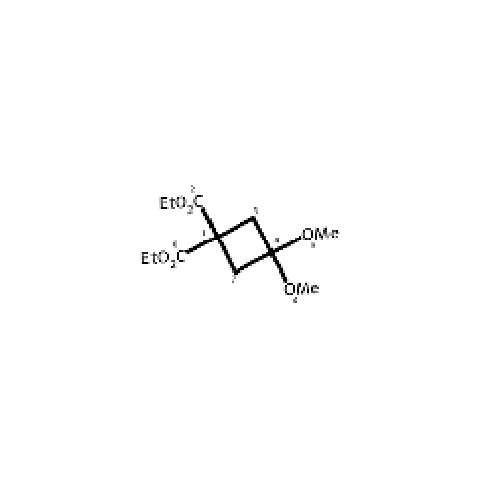 CCOC(=O)C1(C(=O)OCC)CC(OC)(OC)C1